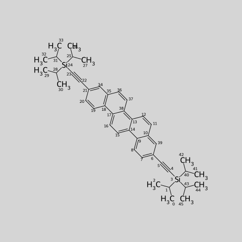 CC(C)[Si](C#Cc1ccc2c(ccc3c2ccc2c4ccc(C#C[Si](C(C)C)(C(C)C)C(C)C)cc4ccc23)c1)(C(C)C)C(C)C